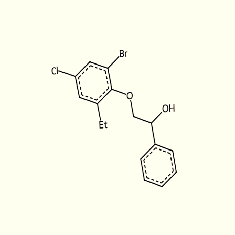 [CH2]Cc1cc(Cl)cc(Br)c1OCC(O)c1ccccc1